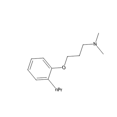 CCCc1ccccc1OCCCN(C)C